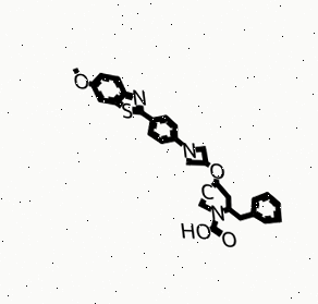 COc1ccc2nc(-c3ccc(N4CC(OC5CCN(C(=O)O)C(Cc6ccccc6)C5)C4)cc3)sc2c1